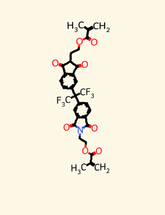 C=C(C)C(=O)OCCC1C(=O)c2ccc(C(c3ccc4c(c3)C(=O)N(CCOC(=O)C(=C)C)C4=O)(C(F)(F)F)C(F)(F)F)cc2C1=O